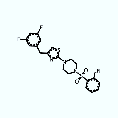 N#Cc1ccccc1S(=O)(=O)N1CCN(c2nc(Cc3cc(F)cc(F)c3)cs2)CC1